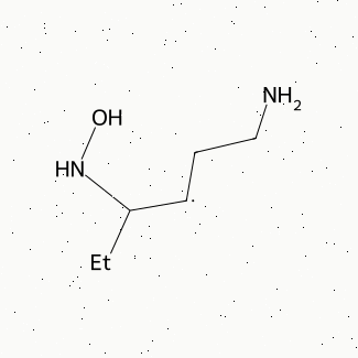 CCC([CH]CCN)NO